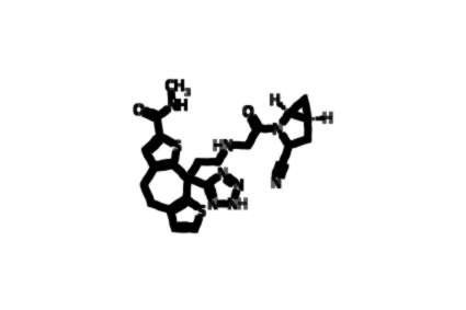 CNC(=O)c1cc2c(s1)C(CCNCC(=O)N1C(C#N)C[C@@H]3C[C@@H]31)(c1nn[nH]n1)c1sccc1CC2